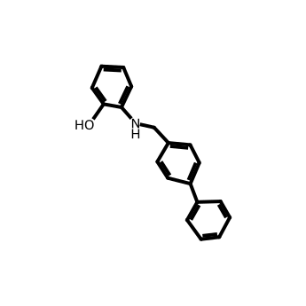 Oc1ccccc1NCc1ccc(-c2ccccc2)cc1